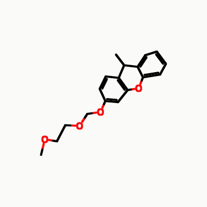 COCCOCOc1ccc2c(c1)Oc1ccccc1C2C